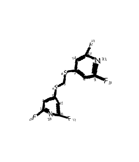 Fc1cc(SCSc2cc(F)nc(F)c2)cc(F)n1